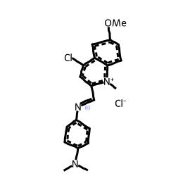 COc1ccc2c(c1)c(Cl)cc(/C=N/c1ccc(N(C)C)cc1)[n+]2C.[Cl-]